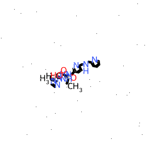 CCC[C@](NC(=O)c1ccc(CNCc2ccccn2)nc1)(NN(C)c1nccn1C)C(=O)O